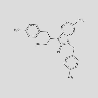 Cc1ccc(CC(CO)n2c(=N)n(Cc3ccc(C)cc3)c3cc(C)ccc32)cc1